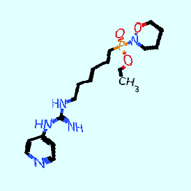 CCOP(=O)(CCCCCCNC(=N)Nc1ccncc1)N1CCCCO1